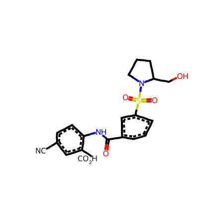 N#Cc1ccc(NC(=O)c2cccc(S(=O)(=O)N3CCCC3CO)c2)c(C(=O)O)c1